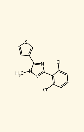 Cn1nc(-c2c(Cl)cccc2Cl)nc1-c1ccsc1